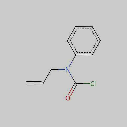 C=CCN(C(=O)Cl)c1ccccc1